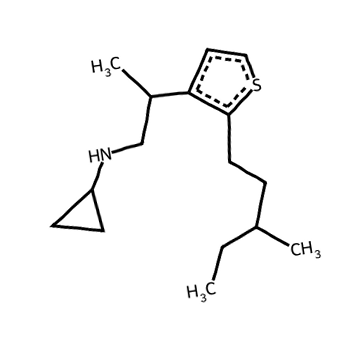 CCC(C)CCc1sccc1C(C)CNC1CC1